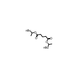 CCCCC(C)OC(=O)CCCC(=O)OC(C)CCCC